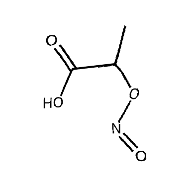 CC(ON=O)C(=O)O